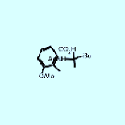 CCC(C)C(C)(NC(C)=O)C(=O)O.COc1ccccc1C